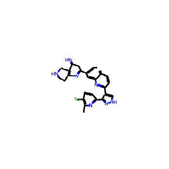 C=c1ccc(-c2c[nH]nc2-c2ccc(F)c(C)n2)n/c1=C/C(=C\C)C1=NC2=C(CNCC2)C(=N)C1